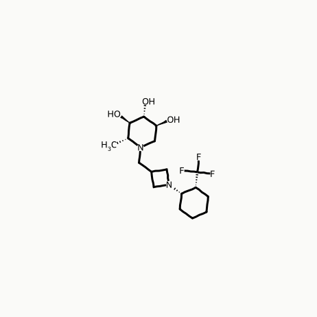 C[C@@H]1[C@@H](O)[C@H](O)[C@@H](O)CN1CC1CN([C@H]2CCCC[C@H]2C(F)(F)F)C1